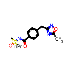 CCCS(C)(=O)=NC(=O)c1ccc(Cc2noc(C(F)(F)F)n2)cc1